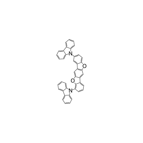 c1cc(-n2c3ccccc3c3ccccc32)c2oc3cc4c(cc3c2c1)oc1ccc(-n2c3ccccc3c3ccccc32)cc14